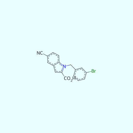 N#Cc1ccc2c(c1)cc(C(=O)O)n2Cc1cccc(Br)c1